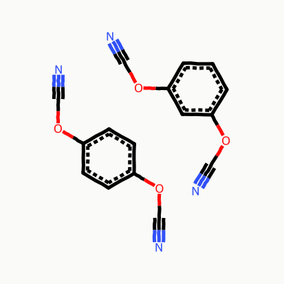 N#COc1ccc(OC#N)cc1.N#COc1cccc(OC#N)c1